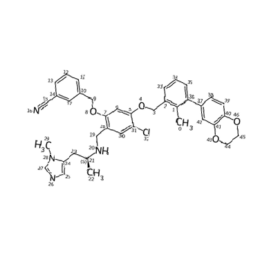 Cc1c(COc2cc(OCc3cccc(C#N)c3)c(CN[C@@H](C)Cc3cncn3C)cc2Cl)cccc1-c1ccc2c(c1)OCCO2